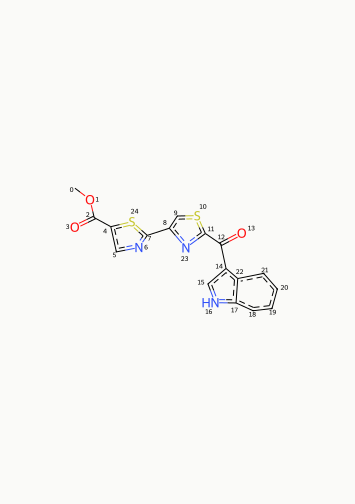 COC(=O)c1cnc(-c2csc(C(=O)c3c[nH]c4ccccc34)n2)s1